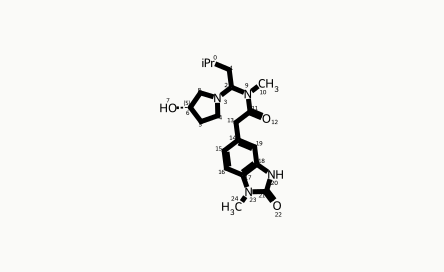 CC(C)CC(N1CC[C@H](O)C1)N(C)C(=O)Cc1ccc2c(c1)[nH]c(=O)n2C